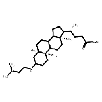 COC(=O)CC[C@@H](C)C1CCC2C3CC[C@@H]4CC(NCCN(C)C)CC[C@]4(C)C3CC[C@@]21C